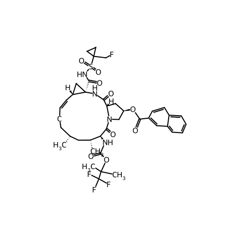 C[C@@H]1CC/C=C\[C@@H]2C[C@@]2(C(=O)NS(=O)(=O)C2(CF)CC2)NC(=O)[C@@H]2C[C@@H](OC(=O)c3ccc4ccccc4c3)CN2C(=O)[C@@H](NC(=O)OC(C)(C)C(F)(F)F)[C@H](C)C1